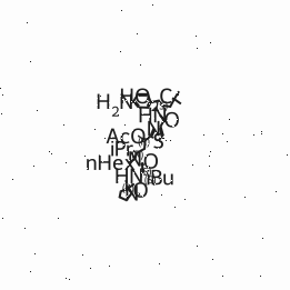 CCCCCCN(C(=O)[C@@H](NC(=O)[C@@]1(C)CCCN1C)[C@@H](C)CC)[C@H](C[C@@H](OC(C)=O)c1nc(C(=O)N[C@@H](Cc2ccc(N)cc2)CC(C)(C)C(=O)O)cs1)C(C)C